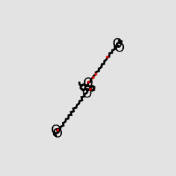 CCc1ccc2c(OCCCCCCCCCCCCCCCCCCCCC(=O)OC(C)(C)C)c3ccccc3c(OCCCCCCCCCCCCCCCCCCCCC(=O)OC(C)(C)C)c2c1